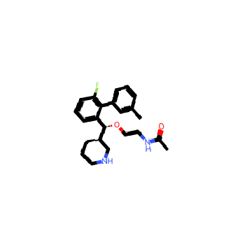 CC(=O)NCCO[C@@H](c1cccc(F)c1-c1cccc(C)c1)[C@@H]1CCCNC1